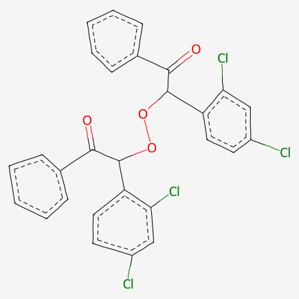 O=C(c1ccccc1)C(OOC(C(=O)c1ccccc1)c1ccc(Cl)cc1Cl)c1ccc(Cl)cc1Cl